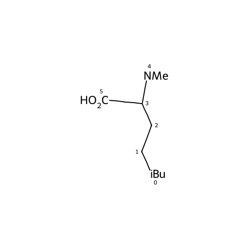 CCC(C)CCC(NC)C(=O)O